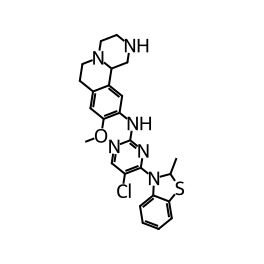 COc1cc2c(cc1Nc1ncc(Cl)c(N3c4ccccc4SC3C)n1)C1CNCCN1CC2